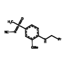 COc1cc(S(C)(=O)=NC#N)ccc1NCC(C)C